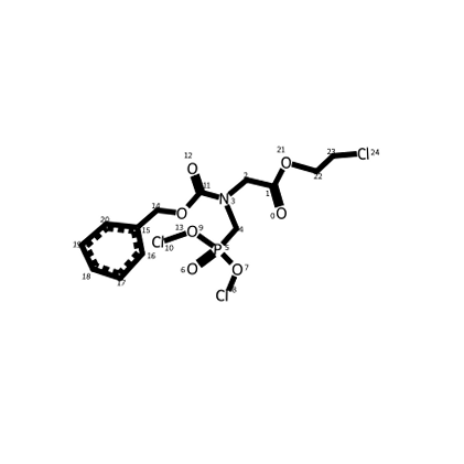 O=C(CN(CP(=O)(OCl)OCl)C(=O)OCc1ccccc1)OCCCl